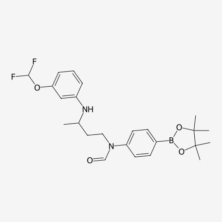 CC(CCN(C=O)c1ccc(B2OC(C)(C)C(C)(C)O2)cc1)Nc1cccc(OC(F)F)c1